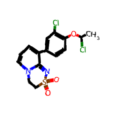 CC(Cl)Oc1ccc(C2=CC=CN3CCS(=O)(=O)N=C23)cc1Cl